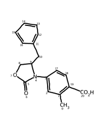 Cc1cc(N2C(=O)OCC2Cc2ccccc2)ccc1C(=O)O